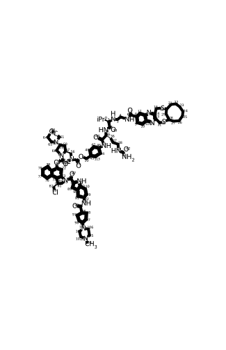 CC(C)[C@@H](NCCNC(=O)c1ccc2nc3c(nc2c1)CSC1CCCCCCCC(C1)SC3)C(=O)N[C@H](CCCNC(N)=O)C(=O)Nc1ccc(COC(=O)N(C)C[C@@H]2C[C@@H](N3CCOCC3)CN2C(=O)Oc2cc3c(c4ccccc24)[C@H](CCl)CN3C(=O)c2cc3cc(NC(=O)c4ccc(N5CCN(C)CC5)cc4)ccc3[nH]2)cc1